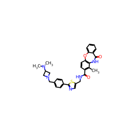 Cc1c(C(=O)NCc2cnc(-c3ccc(CN4CC(N(C)C)C4)cc3)s2)ccc2c1NC(=O)c1ccccc1O2